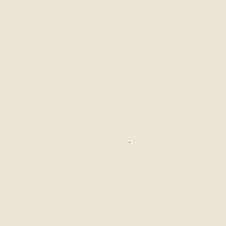 CCOC(=O)/C=C/c1cc2c(s1)CCc1ccccc1C2=C1CCN(C)CC1.Cl